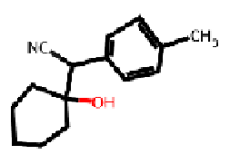 Cc1ccc(C(C#N)C2(O)CCCCC2)cc1